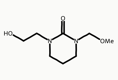 COCN1CCCN(CCO)C1=O